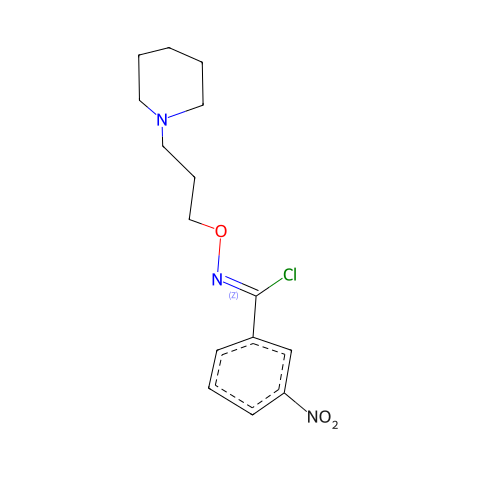 O=[N+]([O-])c1cccc(/C(Cl)=N/OCCCN2CCCCC2)c1